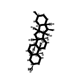 C[C@H]1CC[C@@H]2[C@@H](C)[C@H]3[C@H](C[C@H]4[C@@H]5CC=C6C[C@@H](O)CC[C@]6(C)[C@H]5CC[C@]34C)N2C1